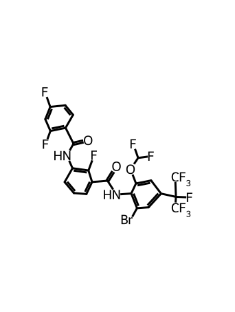 O=C(Nc1cccc(C(=O)Nc2c(Br)cc(C(F)(C(F)(F)F)C(F)(F)F)cc2OC(F)F)c1F)c1ccc(F)cc1F